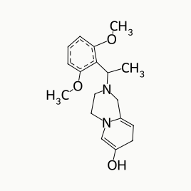 COc1cccc(OC)c1C(C)N1CCN2C=C(O)CC=C2C1